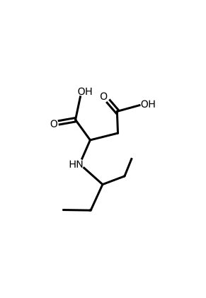 CCC(CC)NC(CC(=O)O)C(=O)O